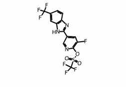 O=S(=O)(Oc1ncc(-c2nc3ccc(C(F)(F)F)cc3[nH]2)cc1F)C(F)(F)F